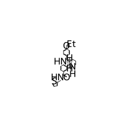 CCOc1ccc(C2Nc3ccc(C(=O)NCc4cccs4)cc3[C@H]3NCCC[C@@H]23)cc1